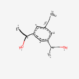 CCC(O)c1cc(C(O)CC)cc(C(C)(C)C)c1